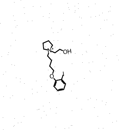 OCC[N+]1(CCCCOc2ccccc2I)CCCC1